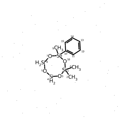 C[Si]1(C)O[SiH2]O[SiH2]O[Si](C)(c2ccccc2)O1